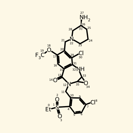 CCS(=O)(=O)c1ccc(Cl)cc1CN1C(=O)c2cc(OC(F)(F)F)c(CN3CCC[C@H](N)C3)c(Cl)c2NC2OC21